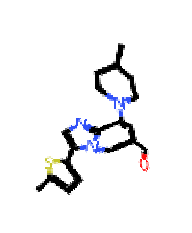 Cc1ccc(-c2cnc3c(N4CCC(C)CC4)cc(C=O)cn23)s1